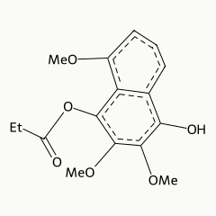 CCC(=O)Oc1c(OC)c(OC)c(O)c2cccc(OC)c12